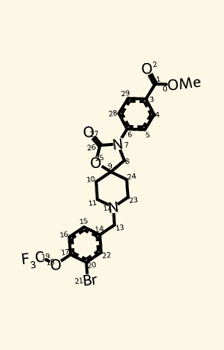 COC(=O)c1ccc(N2CC3(CCN(Cc4ccc(OC(F)(F)F)c(Br)c4)CC3)OC2=O)cc1